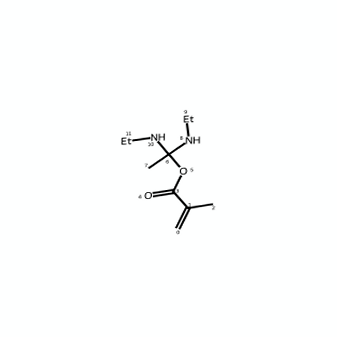 C=C(C)C(=O)OC(C)(NCC)NCC